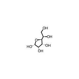 OC[C@@H](O)[C@@H]1O[C@@H](O)[C@@H](O)[C@H]1O